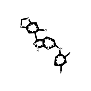 Fc1ccc(Nc2ccc3c(-c4cc5c(cc4Cl)OCO5)n[nH]c3n2)c(F)c1